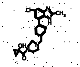 Cc1nc2cc(Cl)cc(-c3ccc(CN4CCN(C(=O)C5(O)CC5)CC4)cc3)c2[nH]1